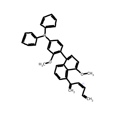 C=C/C=C\C(=C)c1cccc2c(-c3ccc(N(c4ccccc4)c4ccccc4)cc3OC)ccc(OC)c12